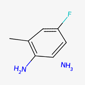 Cc1cc(F)ccc1N.N